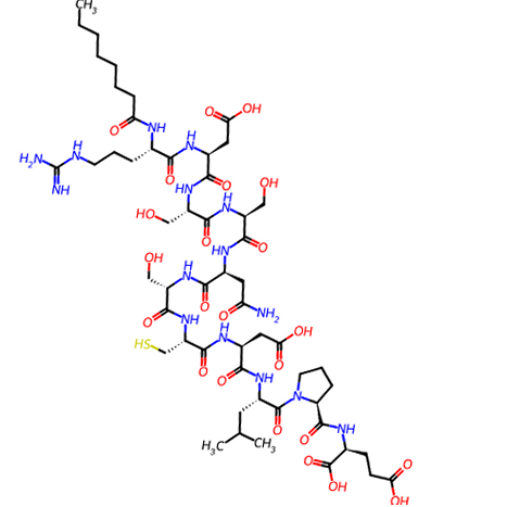 CCCCCCCC(=O)N[C@@H](CCCNC(=N)N)C(=O)N[C@@H](CC(=O)O)C(=O)N[C@@H](CO)C(=O)N[C@@H](CO)C(=O)N[C@@H](CC(N)=O)C(=O)N[C@@H](CO)C(=O)N[C@@H](CS)C(=O)N[C@@H](CC(=O)O)C(=O)N[C@@H](CC(C)C)C(=O)N1CCC[C@H]1C(=O)N[C@@H](CCC(=O)O)C(=O)O